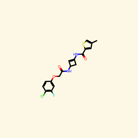 Cc1csc(C(=O)NC2=CC(NC(=O)COc3ccc(Cl)c(F)c3)C2)c1